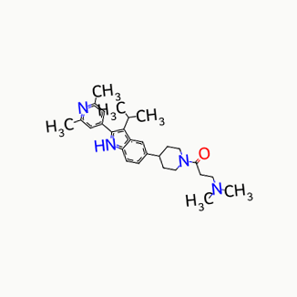 Cc1cc(-c2[nH]c3ccc(C4CCN(C(=O)CCN(C)C)CC4)cc3c2C(C)C)cc(C)n1